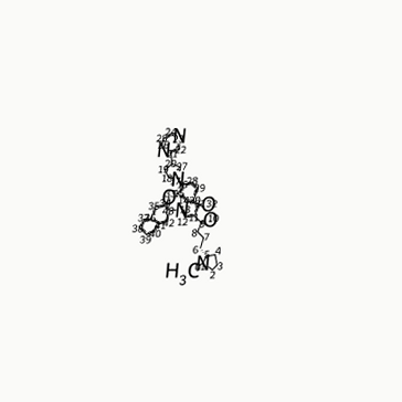 CN1CCC[C@H]1CCCC(=O)c1cn2c3c(c(N4CCC(c5cnccn5)C4)ccc3c1=O)Oc1cc3ccccc3cc1-2